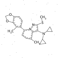 CSc1nn2c(-c3ccc4c(c3C)OCO4)ccc(C)c2c1N(C1CC1)C1CC1